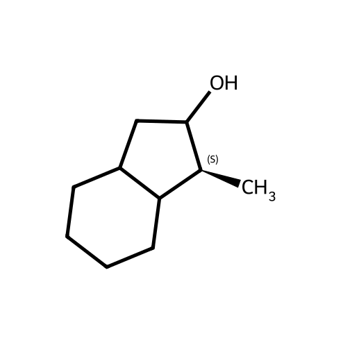 C[C@@H]1C(O)CC2CCCCC21